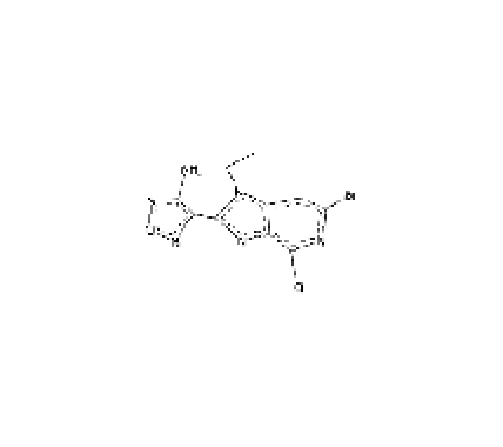 CCn1c(-c2nonc2N)nc2c(Cl)nc(Br)cc21